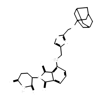 O=C1CCC(N2C(=O)c3cccc(NCc4csc(COC56CC7CC(CC(C7)C5)C6)n4)c3C2=O)C(=O)N1